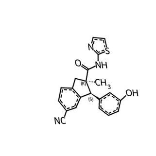 C[C@@]1(C(=O)Nc2nccs2)Cc2ccc(C#N)cc2[C@@H]1c1cccc(O)c1